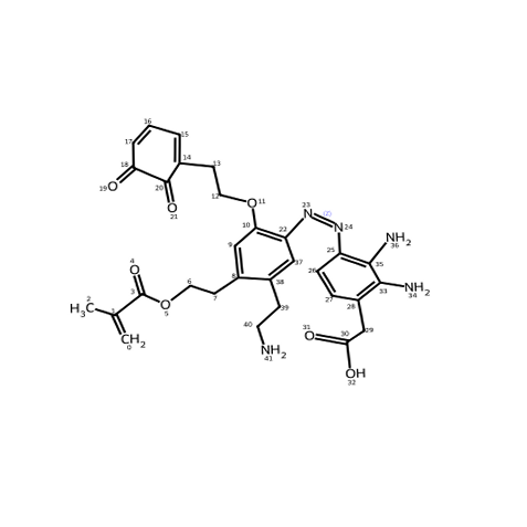 C=C(C)C(=O)OCCc1cc(OCCC2=CC=CC(=O)C2=O)c(/N=N\c2ccc(CC(=O)O)c(N)c2N)cc1CCN